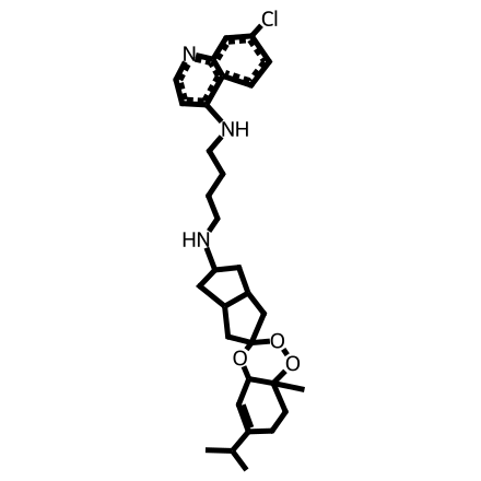 CC(C)C1=CC2OC3(CC4CC(NCCCCNc5ccnc6cc(Cl)ccc56)CC4C3)OOC2(C)CC1